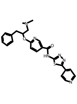 CN(C)CC(Cc1ccccc1)Oc1ccc(C(=O)Nc2nnc(-c3ccncc3)s2)cn1